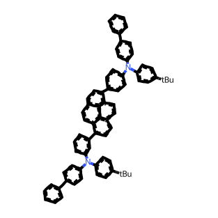 CC(C)(C)c1ccc(N(c2ccc(-c3ccccc3)cc2)c2ccc(-c3ccc4ccc5c(-c6cccc(N(c7ccc(-c8ccccc8)cc7)c7ccc(C(C)(C)C)cc7)c6)ccc6ccc3c4c65)cc2)cc1